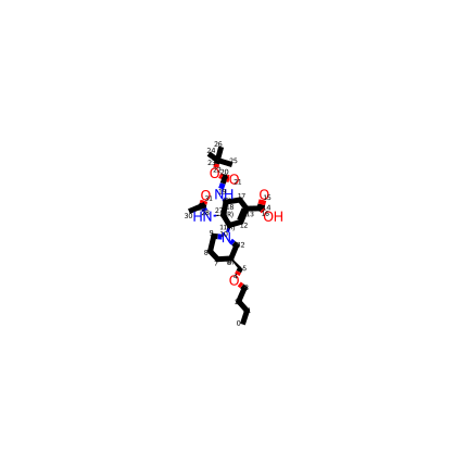 CCCCOC[C@H]1CCCN([C@@H]2C=C(C(=O)O)C[C@H](NC(=O)OC(C)(C)C)[C@H]2NC(C)=O)C1